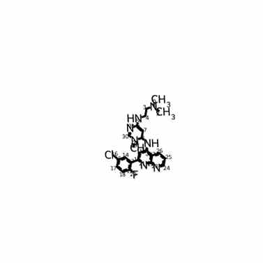 CN(C)CCNC1=CC(Nc2cc(-c3cc(Cl)ccc3F)nc3ncccc23)N(C)C=N1